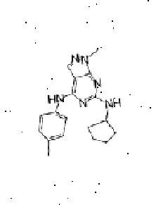 Cc1ccc(Nc2nc(NC3CCCC3)nc3c2cnn3C)cc1